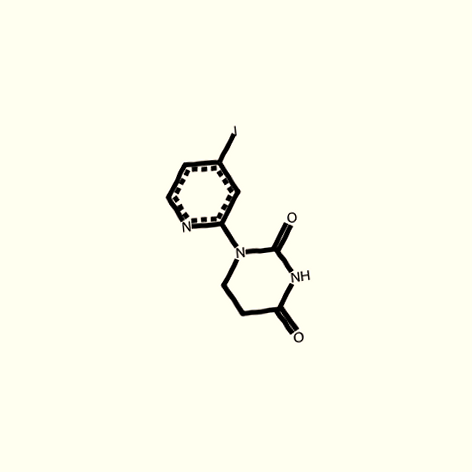 O=C1CCN(c2cc(I)ccn2)C(=O)N1